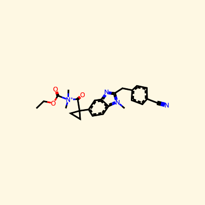 CCOC(=O)[N+](C)(C)C(=O)C1(c2ccc3c(c2)nc(Cc2ccc(C#N)cc2)n3C)CC1